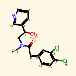 CC(C)N(CC(O)c1cccnc1)C(=O)Cc1ccc(Cl)c(Cl)c1